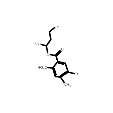 CCCCC(CCC(C)C)OC(=O)c1cc(CC)c(C)cc1C(=O)O